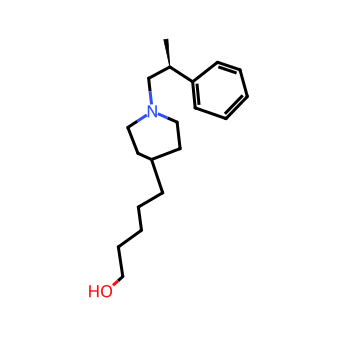 C[C@H](CN1CCC(CCCCCO)CC1)c1ccccc1